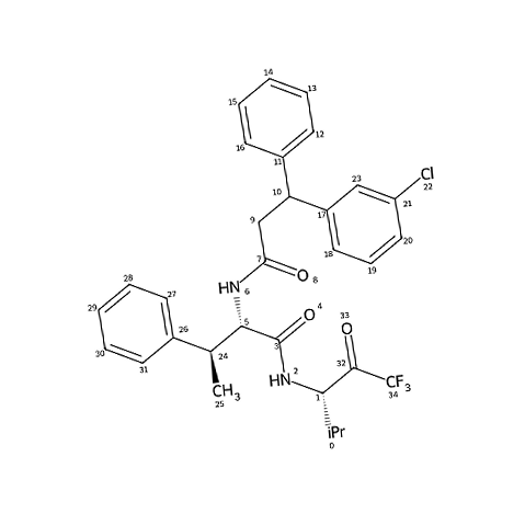 CC(C)[C@H](NC(=O)[C@@H](NC(=O)CC(c1ccccc1)c1cccc(Cl)c1)[C@@H](C)c1ccccc1)C(=O)C(F)(F)F